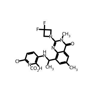 Cc1cc(C(C)Nc2ccc(Cl)nc2C(=O)O)c2nc(N3CC(F)(F)C3)n(C)c(=O)c2c1